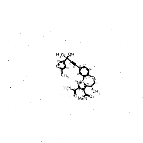 CNC(=O)c1c(C(N)=O)nn2c1[C@H](C)COc1ccc(C#C[C@@](C)(O)c3cc(C)on3)cc1-2